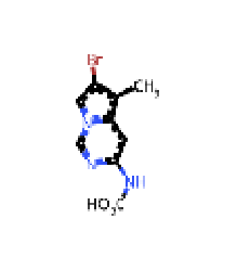 Cc1c(Br)cn2cnc(NC(=O)O)cc12